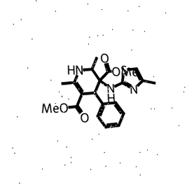 COC(=O)C1=C(C)NC(C)C(Nc2nc(C)cs2)(C(=O)OC)C1c1ccccc1